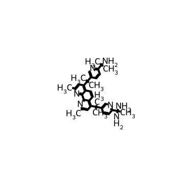 Cc1cc(C(C)(C)c2ccc(C(C)(C)N)nc2)c2ccc3c(C(C)(C)c4ccc(C(C)(N)N)nc4)cc(C)nc3c2n1